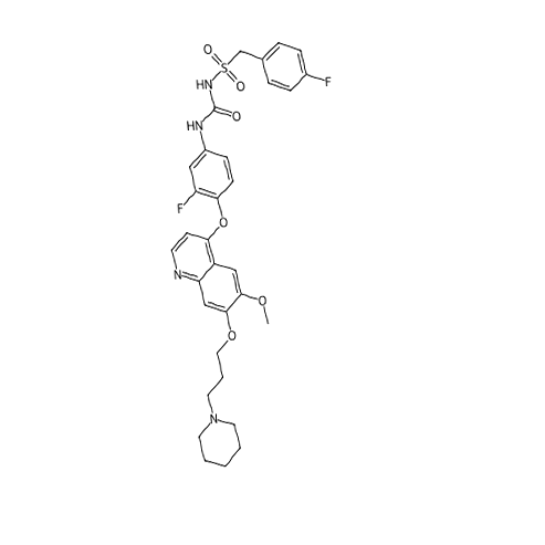 COc1cc2c(Oc3ccc(NC(=O)NS(=O)(=O)Cc4ccc(F)cc4)cc3F)ccnc2cc1OCCCN1CCCCC1